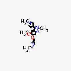 CCN1CC(COc2cc3nc(C)nc(C4CCN(C)CC4)c3cc2OC)C1